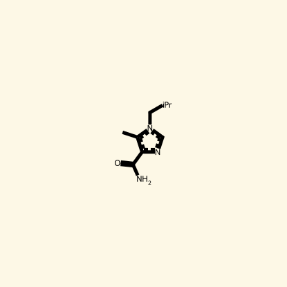 Cc1c(C(N)=O)ncn1CC(C)C